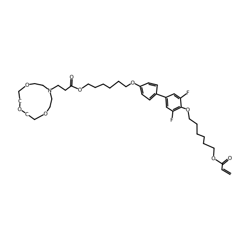 C=CC(=O)OCCCCCCOc1c(F)cc(-c2ccc(OCCCCCCOC(=O)CCN3CCOCCOCCOCC3)cc2)cc1F